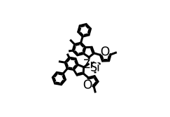 Cc1ccc(C2=Cc3c(cc(C)c(C)c3-c3ccccc3)[CH]2[Zr]([CH]2C(c3ccc(C)o3)=Cc3c2cc(C)c(C)c3-c2ccccc2)=[Si](C)C)o1